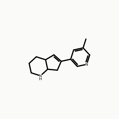 Cc1cncc(C2=CC3CCCNC3C2)c1